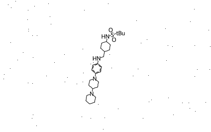 CC(C)(C)S(=O)(=O)NC1CCC(CNc2ccc(N3CCC(N4CCCCC4)CC3)cc2)CC1